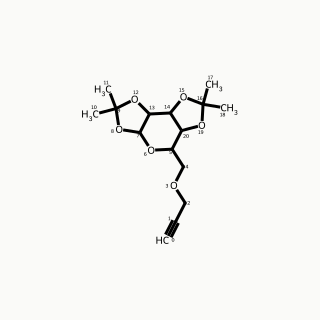 C#CCOCC1OC2OC(C)(C)OC2C2OC(C)(C)OC12